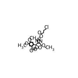 CCOC(=O)c1nn(COC(=O)CCCCl)nc1C(=O)c1cc(OC)c(OC)cc1[N+](=O)[O-]